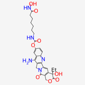 CC[C@@]1(O)C(=O)OCc2c1cc1n(c2=O)Cc2c-1nc1ccc(OC(=O)NCCCCCCC(=O)NO)cc1c2N